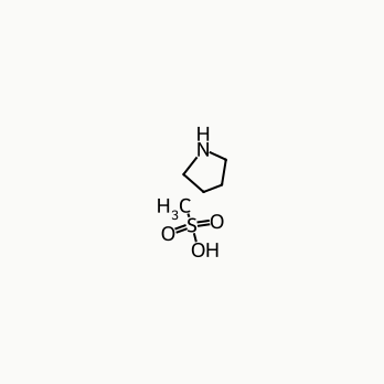 C1CCNC1.CS(=O)(=O)O